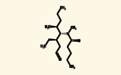 CCCCC(=O)N(C)[C@H]([C@H](CC)CC=O)[C@@H](C)CCC